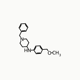 COCc1ccc(NC2CCN(Cc3ccccc3)CC2)cc1